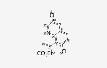 C=C(C(=O)OCC)c1c(Cl)ccc2cc(Cl)cnc12